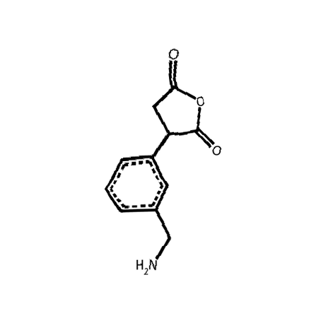 NCc1cccc(C2CC(=O)OC2=O)c1